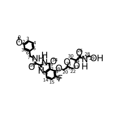 COc1cccc(CNC(=O)c2nc3ccc(F)c(OCC4COC(C(=O)NCO)CO4)c3c(=O)[nH]2)c1